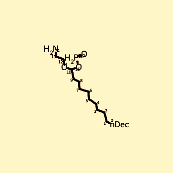 CCCCCCCCCCCCCCCCCCCC(OCCN)O[PH2]=O